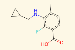 Cc1ccc(C(=O)O)c(F)c1NCC1CC1